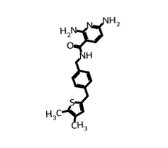 Cc1cc(Cc2ccc(CNC(=O)c3ccc(N)nc3N)cc2)sc1C